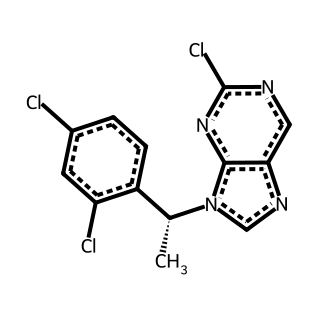 C[C@H](c1ccc(Cl)cc1Cl)n1cnc2cnc(Cl)nc21